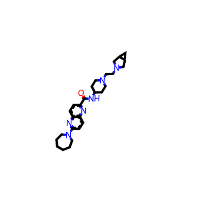 O=C(NC1CCN(CCN2CC3CC3C2)CC1)c1ccc2nc(N3CCCCCC3)ccc2n1